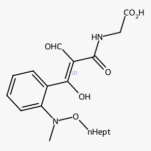 CCCCCCCON(C)c1ccccc1/C(O)=C(\C=O)C(=O)NCC(=O)O